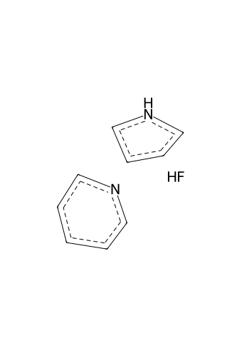 F.c1cc[nH]c1.c1ccncc1